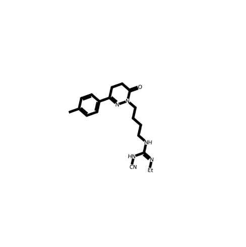 CC/N=C(\NC#N)NCCCCN1N=C(c2ccc(C)cc2)CCC1=O